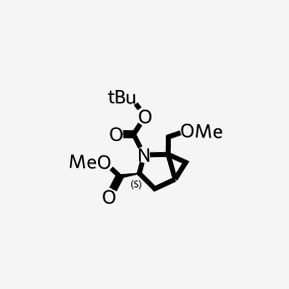 COCC12CC1C[C@@H](C(=O)OC)N2C(=O)OC(C)(C)C